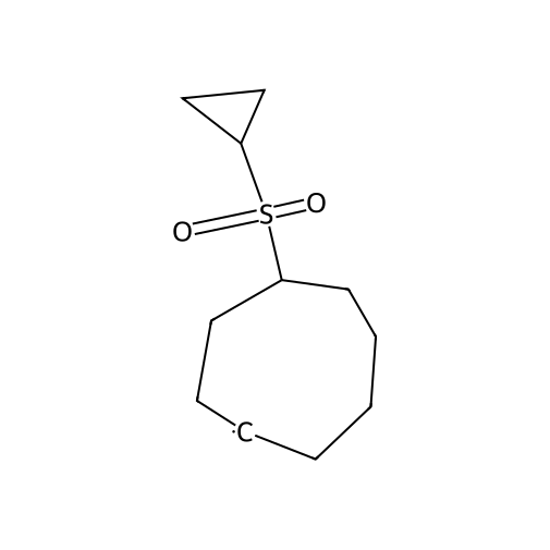 O=S(=O)(C1CC[CH]CCCC1)C1CC1